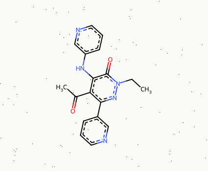 CCn1nc(-c2cccnc2)c(C(C)=O)c(Nc2cccnc2)c1=O